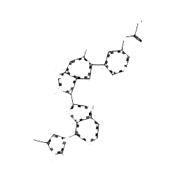 CCCC(=O)Nc1cncc(-c2cc3c(-c4nc5c(-n6cnc(C)c6)nccc5[nH]4)n[nH]c3cc2F)c1